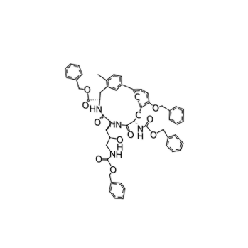 Cc1ccc2cc1C[C@@H](C(=O)OCc1ccccc1)NC(=O)[C@H](C[C@@H](O)CNC(=O)OCc1ccccc1)NC(=O)[C@@H](NC(=O)OCc1ccccc1)Cc1cc-2ccc1OCc1ccccc1